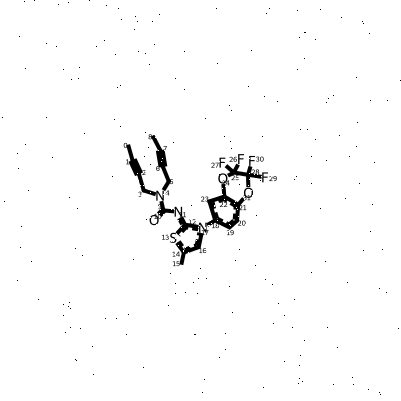 CC#CCN(CC#CC)C(=O)N=c1sc(C)cn1-c1ccc2c(c1)OC(F)(F)C(F)(F)O2